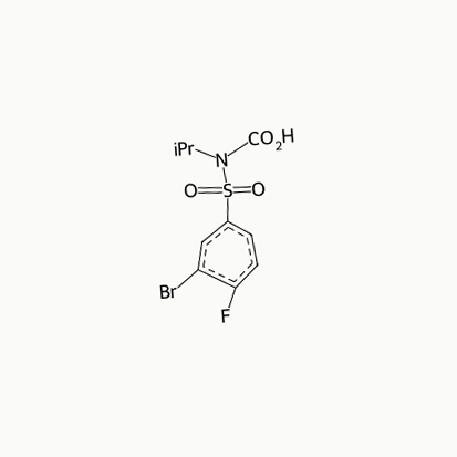 CC(C)N(C(=O)O)S(=O)(=O)c1ccc(F)c(Br)c1